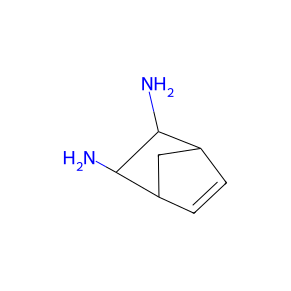 NC1C2C=CC(C2)C1N